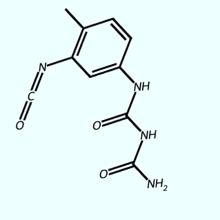 Cc1ccc(NC(=O)NC(N)=O)cc1N=C=O